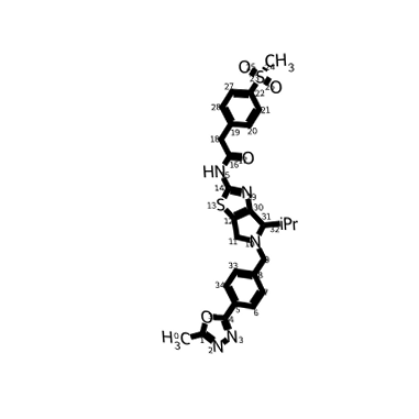 Cc1nnc(-c2ccc(CN3Cc4sc(NC(=O)Cc5ccc(S(C)(=O)=O)cc5)nc4C3C(C)C)cc2)o1